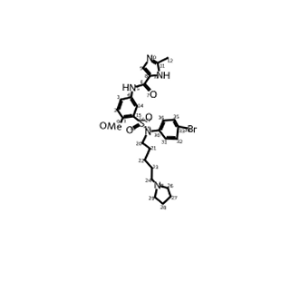 COc1ccc(NC(=O)c2cnc(C)[nH]2)cc1S(=O)(=O)N(CCCCCN1CCCC1)c1ccc(Br)cc1